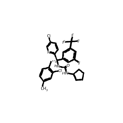 Cc1ccc(C[C@@](NC(=O)NC2CCCC2)(c2cc(F)cc(C(F)(F)F)c2)c2ccc(Cl)cn2)c(Cl)c1